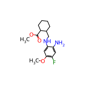 COC(=O)C1CCCCC1CNc1cc(OC)c(F)cc1N